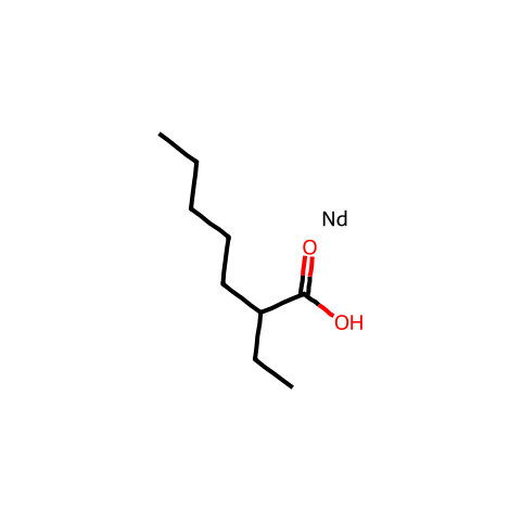 CCCCCC(CC)C(=O)O.[Nd]